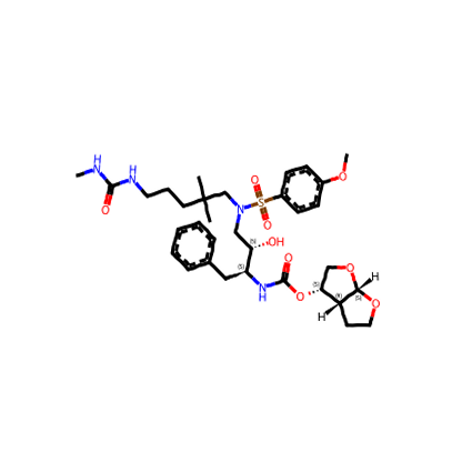 CNC(=O)NCCCC(C)(C)CN(C[C@H](O)[C@H](Cc1ccccc1)NC(=O)O[C@@H]1CO[C@@H]2OCC[C@@H]21)S(=O)(=O)c1ccc(OC)cc1